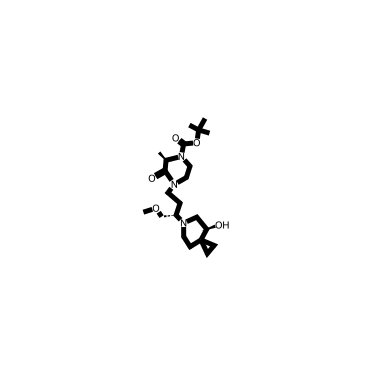 COC[C@H](CCN1CCN(C(=O)OC(C)(C)C)[C@H](C)C1=O)N1CCC2(CC2)[C@H](O)C1